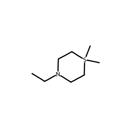 CCN1CCS(C)(C)CC1